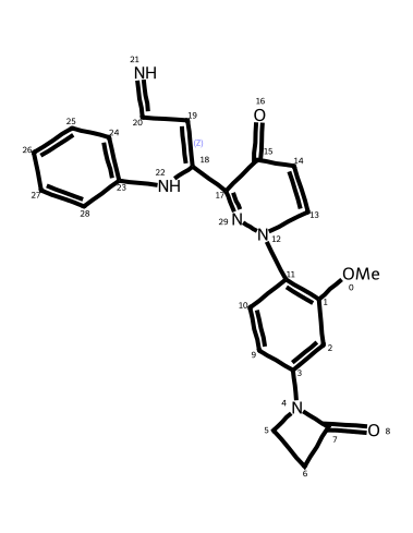 COc1cc(N2CCC2=O)ccc1-n1ccc(=O)c(/C(=C/C=N)Nc2ccccc2)n1